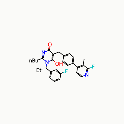 CCCCc1nc(=O)c(Cc2ccc(-c3ccnc(F)c3C)cc2)c(O)n1[C@@H](CC)c1cccc(F)c1